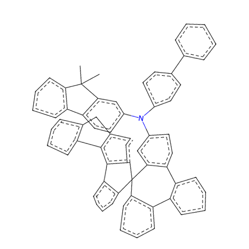 CC1(C)c2ccccc2-c2ccc(N(c3ccc(-c4ccccc4)cc3)c3ccc4c(c3)C3(c5ccccc5-c5ccccc5-4)c4ccccc4-c4c3ccc3c4-c4ccccc4C3)cc21